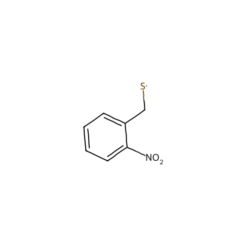 O=[N+]([O-])c1ccccc1C[S]